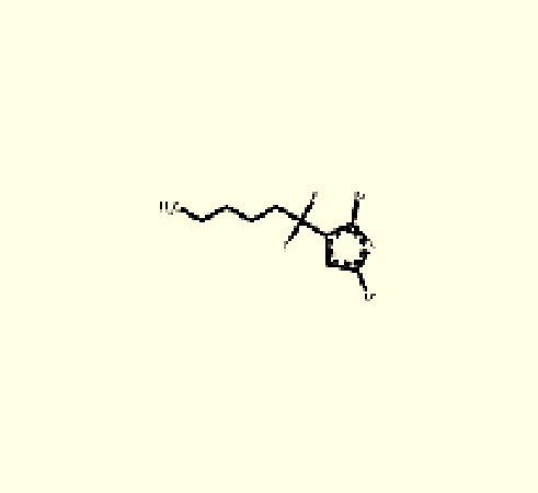 CCCCCC(F)(F)c1cc(Br)sc1Br